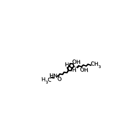 CCCCC[C@H](O)/C=C/[C@@H]1[C@H]2CC(CCCCC(=O)NCCC)=C[C@H]2C[C@H]1O